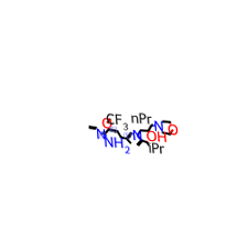 C=C/N=C(N)\C(=C/C/C(C)=C/N(CCC(CCC)N1CCOCC1)C(=C)C(O)C(C)C)OC(F)(F)F